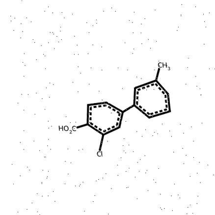 Cc1cccc(-c2ccc(C(=O)O)c(Cl)c2)c1